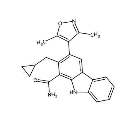 Cc1noc(C)c1-c1cc2c([nH]c3ccccc32)c(C(N)=O)c1CC1CC1